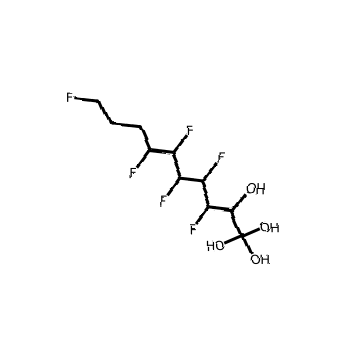 OC(C(F)C(F)C(F)C(F)C(F)CCCF)C(O)(O)O